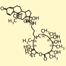 CC[C@H]1OC(=O)[C@H](C)[C@@H](O)[C@H](C)[C@@H](O)[C@](C)(O)C[C@@H](C)CN(CCCNC(=O)[C@@]2(O)CCC3C4CCC5=CC(=O)C=C[C@]5(C)[C@@]4(F)[C@@H](C)C[C@@]32C)[C@H](C)[C@@H](O)[C@]1(C)O